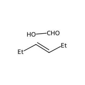 CCC=CCC.O=CO